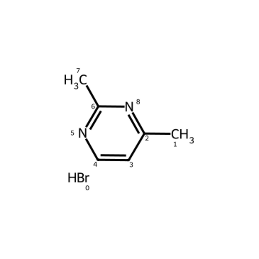 Br.Cc1ccnc(C)n1